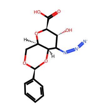 [N-]=[N+]=NC1[C@@H](O)[C@H](C(=O)O)O[C@@H]2CO[C@H](c3ccccc3)O[C@H]12